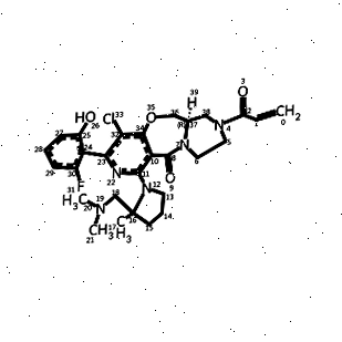 C=CC(=O)N1CCN2C(=O)c3c(N4CCCC4(C)CN(C)C)nc(-c4c(O)cccc4F)c(Cl)c3OC[C@H]2C1